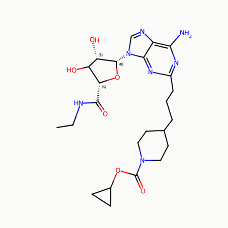 CCNC(=O)[C@H]1O[C@@H](n2cnc3c(N)nc(CCCC4CCN(C(=O)OC5CC5)CC4)nc32)[C@@H](O)C1O